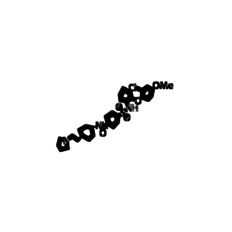 COc1ccc(Oc2ccccc2NS(=O)(=O)c2ccc(C(=O)N[C@H]3CC[C@H](CCN4CCCC4)CC3)cc2)c(Cl)c1